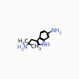 CC(C)(N)Cc1c[nH]c2cc(N)ccc12